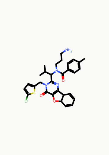 Cc1ccc(C(=O)N(CCCN)C(c2nc3c(c(=O)n2Cc2ccc(Cl)s2)OC2C=CC=CC32)C(C)C)cc1